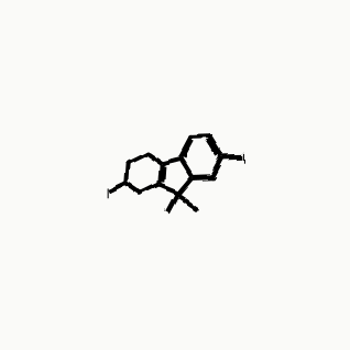 CC1(C)C2=C(CCC(I)C2)C2=CC=C(I)CC21